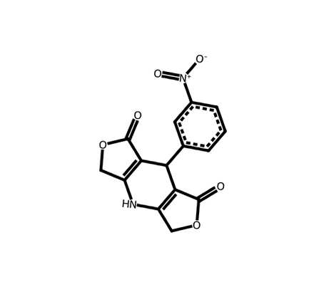 O=C1OCC2=C1C(c1cccc([N+](=O)[O-])c1)C1=C(COC1=O)N2